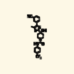 Cc1sc(C2(O)CCN(C(=O)Nc3ccc(C(F)(F)F)cc3)CC2)nc1-c1cccc(C#N)c1